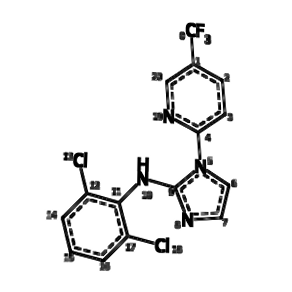 FC(F)(F)c1ccc(-n2ccnc2Nc2c(Cl)cccc2Cl)nc1